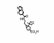 CC1(C23CN(C(=O)O)CC2C3CCNC(=O)c2cnc3nccn3c2)COC1